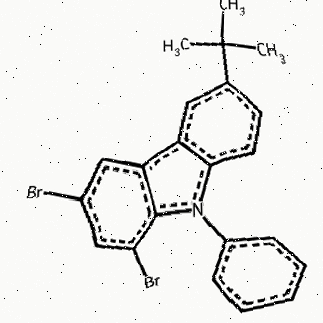 CC(C)(C)c1ccc2c(c1)c1cc(Br)cc(Br)c1n2-c1ccccc1